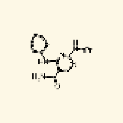 CCCNc1ncc(C(N)=O)c(Nc2ccccc2)n1